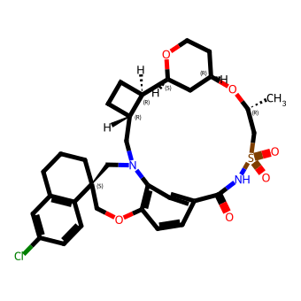 C[C@@H]1CS(=O)(=O)NC(=O)c2ccc3c(c2)N(C[C@@H]2CC[C@H]2[C@@H]2C[C@@H](CCO2)O1)C[C@@]1(CCCc2cc(Cl)ccc21)CO3